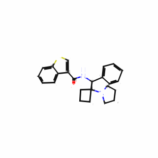 O=C(NC(c1ccccc1)C1(N2CCCC2)CCC1)c1csc2ccccc12